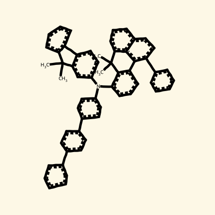 CC1(C)c2ccccc2-c2ccc(N(c3ccc(-c4ccc(-c5ccccc5)cc4)cc3)c3cccc4c3C(C)(C)c3cccc5ccc(-c6ccccc6)c-4c35)cc21